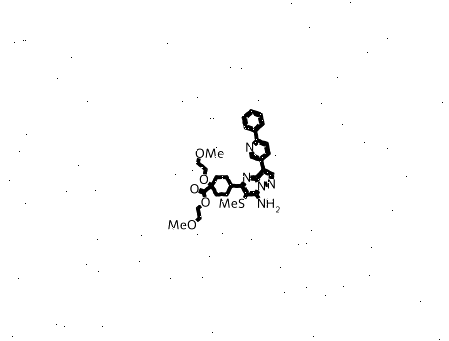 COCCOC(=O)C1(OCCOC)CCC(c2nc3c(-c4ccc(-c5ccccc5)nc4)cnn3c(N)c2SC)CC1